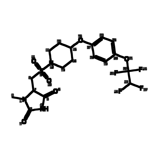 CN1C(=O)NC(=O)C1CS(=O)(=O)N1CCC(Oc2ccc(OC(F)(F)C(F)F)cc2)CC1